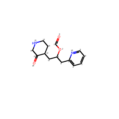 O=COC(Cc1ccccn1)CC1CCNCC1=O